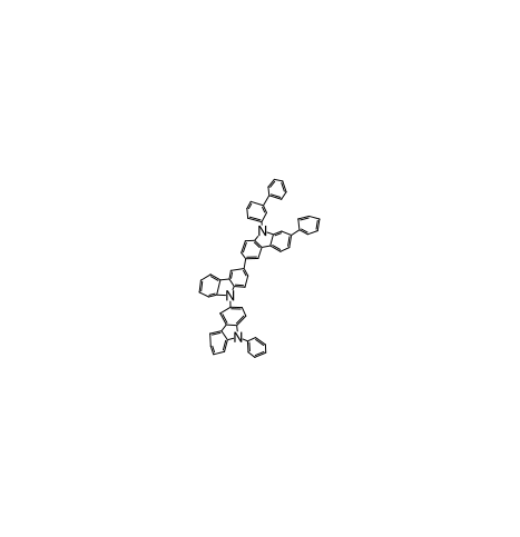 c1ccc(-c2cccc(-n3c4ccc(-c5ccc6c(c5)c5ccccc5n6-c5ccc6c(c5)c5ccccc5n6-c5ccccc5)cc4c4ccc(-c5ccccc5)cc43)c2)cc1